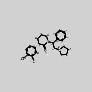 O=C1[C@H](c2ccc(Cl)c(Cl)c2)CCCN1C(CN1CCCC1)c1ccccc1